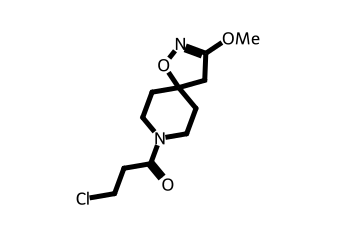 COC1=NOC2(CCN(C(=O)CCCl)CC2)C1